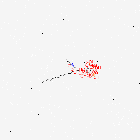 CCCCCCCCCCCCCCCC(=O)O[C@H](CCNC(=O)CCC)COP(=O)(O)OC1C(O)[C@@H](OP(=O)(O)O)C(OP(=O)(O)O)[C@@H](OP(=O)(O)O)[C@H]1O